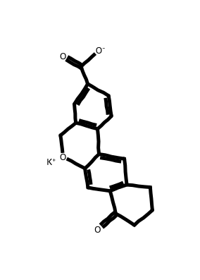 O=C([O-])c1ccc2c(c1)COc1cc3c(cc1-2)CCCC3=O.[K+]